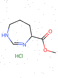 COC(=O)C1CCCNC=N1.Cl